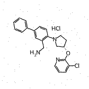 Cl.NCc1cc(-c2ccccc2)ccc1N1CC[C@H](Oc2ncccc2Cl)C1